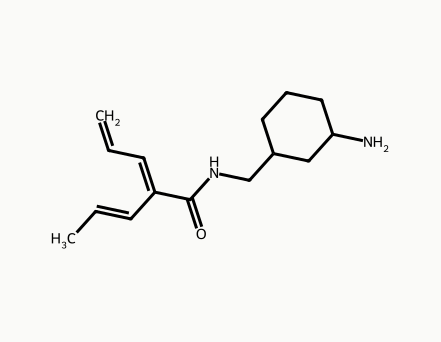 C=CC=C(C=CC)C(=O)NCC1CCCC(N)C1